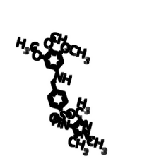 COc1cc(NCc2ccc(S(=O)(=O)Nc3c(C)nn(C)c3C)cc2)cc(OC)c1OC